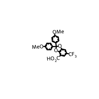 COc1ccc(C2(c3ccc(OC)cc3)Oc3cc(C(F)(F)F)cc(C(=O)O)c3O2)cc1